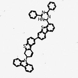 C1=CC(n2c3ccccc3c3ccccc32)Cc2sc3ccc(-c4ccc5c(c4)sc4c(C6N=C(c7ccccc7)N=C(c7ccccc7)N6)cccc45)cc3c21